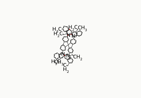 C=Cc1cccc(N(c2cccc(C)c2)c2ccc3c(c2)C2(c4cc(N(c5cccc(C)c5)c5cccc(C=C)c5)ccc4-3)c3cc(N(c4cccc(C)c4)c4cccc(C=C)c4)ccc3-c3ccc(N(c4cccc(C)c4)c4cccc(C=C)c4)cc32)c1